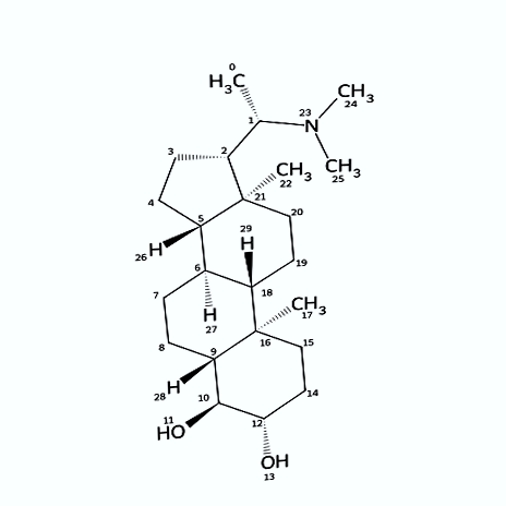 C[C@@H]([C@H]1CC[C@H]2[C@@H]3CC[C@H]4[C@H](O)[C@@H](O)CC[C@]4(C)[C@H]3CC[C@]12C)N(C)C